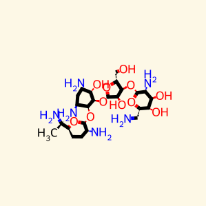 C[C@@H](N)[C@@H]1CC[C@@H](N)[C@@H](O[C@H]2[C@H](O[C@@H]3O[C@H](CO)[C@@H](O[C@H]4O[C@@H](CN)[C@@H](O)[C@H](O)[C@H]4N)[C@H]3O)[C@@H](O)[C@H](N)C[C@@H]2N)O1